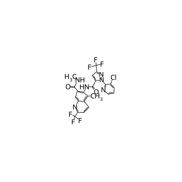 CNC(=O)c1cc2nc(C(F)(F)F)ccc2c(C)c1NC(=O)c1cc(C(F)(F)F)nn1-c1ncccc1Cl